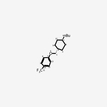 CCCC[C@H]1CC[C@H](COc2ccc(C(F)(F)F)cc2)CC1